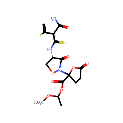 C=C(F)C(C(N)=O)C(=S)N[C@H]1CON(C2(C(=O)OC(C)OC(=O)OCC)CCC(=O)O2)C1=O